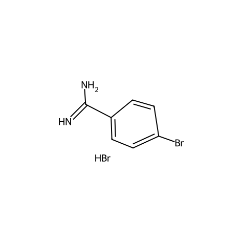 Br.N=C(N)c1ccc(Br)cc1